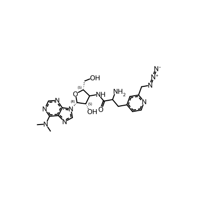 CN(C)c1ncnc2c1ncn2[C@@H]1O[C@H](CO)C(NC(=O)C(N)Cc2ccnc(CN=[N+]=[N-])c2)[C@@H]1O